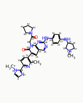 Cc1nc(-c2nccn2C)ccc1-c1cc2cnc(Nc3ccc(NC4CCN(C)C4)cc3)nc2n(CC(=O)N2CCCC2)c1=O